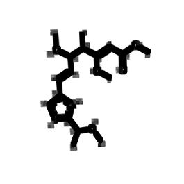 COC(=O)C=C(OC)C(C)C(C=Cc1csc(C(C)OC)n1)OC